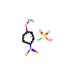 COc1ccc([N+](=O)[O-])cc1.O=S(=O)(O)Cl